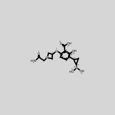 NC(=O)CN1CC(Oc2ccc(C3C[C@H]3B(O)O)c(O)c2C(=O)O)C1